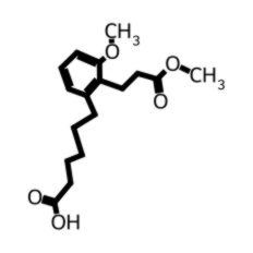 COC(=O)CCc1c(CCCCCC(=O)O)cccc1OC